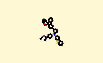 C=C/C=C\C(=C/C)c1ccc(N(c2cccc(-c3ccc4c(c3)-c3ccccc3C43C4CC5CC(C4)CC3C5)c2)c2ccc3c(c2)sc2ccccc23)cc1